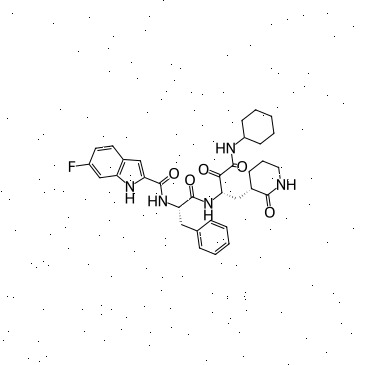 O=C(NC1CCCCC1)C(=O)[C@H](C[C@@H]1CCCNC1=O)NC(=O)[C@H](Cc1ccccc1)NC(=O)c1cc2ccc(F)cc2[nH]1